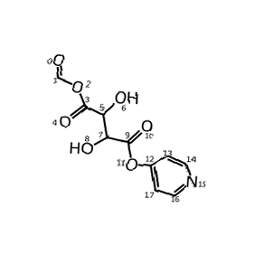 O=COC(=O)C(O)C(O)C(=O)Oc1ccncc1